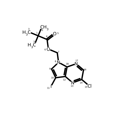 CC(C)(C)C(=O)OCn1cc(I)c2nc(Cl)cnc21